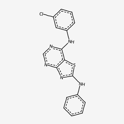 Clc1cccc(Nc2ncnc3nc(Nc4ccccc4)sc23)c1